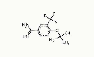 CC(C)(C)Oc1ccc(C(=N)N)cc1C(F)(F)F